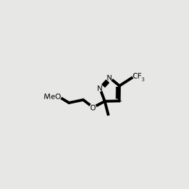 COCCOC1(C)[C]=C(C(F)(F)F)N=N1